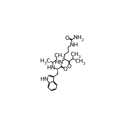 CCC(C)N[C@H](Cc1c[nH]c2ccccc12)C(=O)N[C@@H](CCCNC(N)=O)C(=O)C(C)C